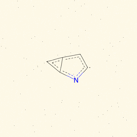 [c]1cc2cc-2n1